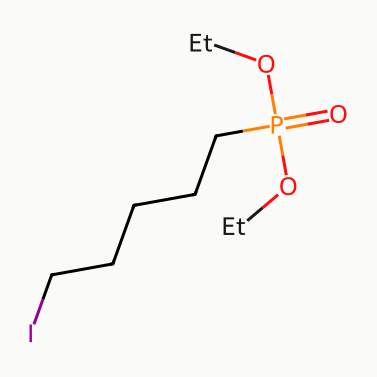 CCOP(=O)(CCCCCI)OCC